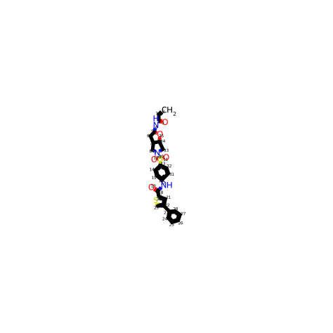 C=CC(=O)NC1CC2CN(S(=O)(=O)c3ccc(NC(=O)c4cc(-c5ccccc5)cs4)cc3)CC2O1